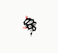 CC[C@H]1CC[C@H]2[C@@H]3C(C)CC4=CC(=O)C=C[C@]4(C)[C@H]3C(O)C[C@]12C